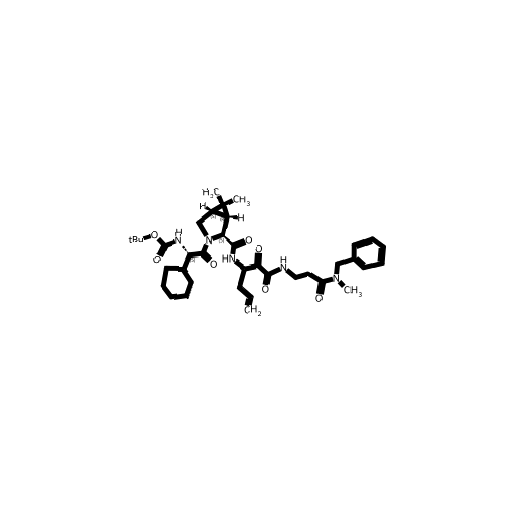 C=CCC(NC(=O)[C@@H]1[C@@H]2[C@H](CN1C(=O)[C@@H](NC(=O)OC(C)(C)C)C1CCCCC1)C2(C)C)C(=O)C(=O)NCCC(=O)N(C)Cc1ccccc1